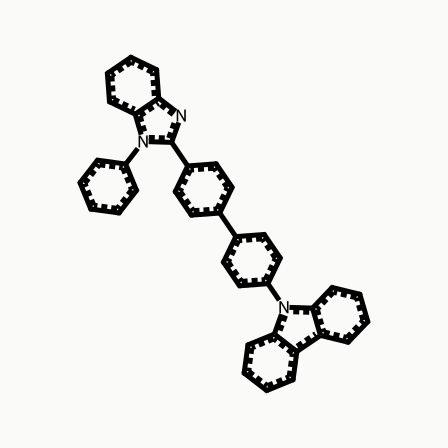 c1ccc(-n2c(-c3ccc(-c4ccc(-n5c6ccccc6c6ccccc65)cc4)cc3)nc3ccccc32)cc1